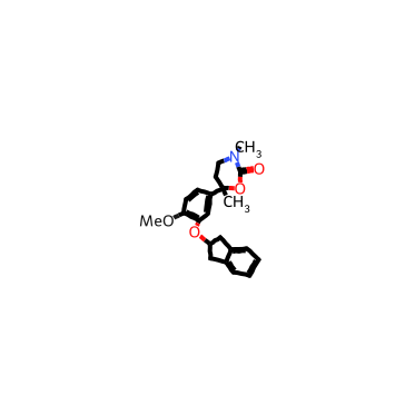 COc1ccc(C2(C)CCN(C)C(=O)O2)cc1OC1Cc2ccccc2C1